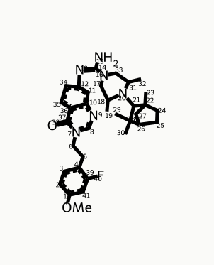 COc1ccc(CCn2cnc3cc(N=C(N)N4CC(C)N(C5C6(C)CCC(C6)C5(C)C)C(C)C4)ccc3c2=O)c(F)c1